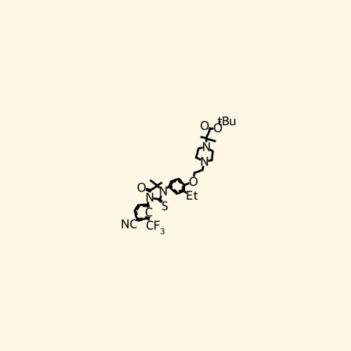 CCc1cc(N2C(=S)N(c3ccc(C#N)c(C(F)(F)F)c3)C(=O)C2(C)C)ccc1OCCN1CCN(C(C)(C)C(=O)OC(C)(C)C)CC1